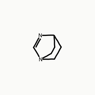 C1=NC2CCN1CC2